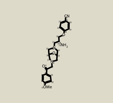 COc1ccc(C(=O)CN2CC3CN(C[C@@H](N)COc4ccc(C#N)cc4)CC(C2)O3)cc1